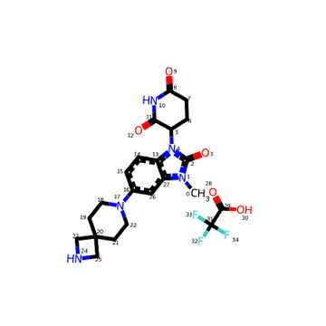 Cn1c(=O)n(C2CCC(=O)NC2=O)c2ccc(N3CCC4(CC3)CNC4)cc21.O=C(O)C(F)(F)F